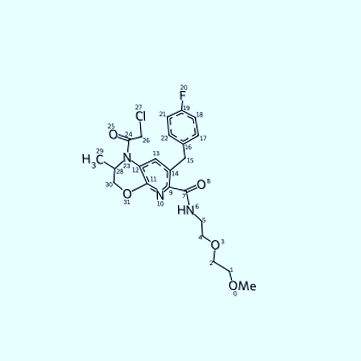 COCCOCCNC(=O)c1nc2c(cc1Cc1ccc(F)cc1)N(C(=O)CCl)C(C)CO2